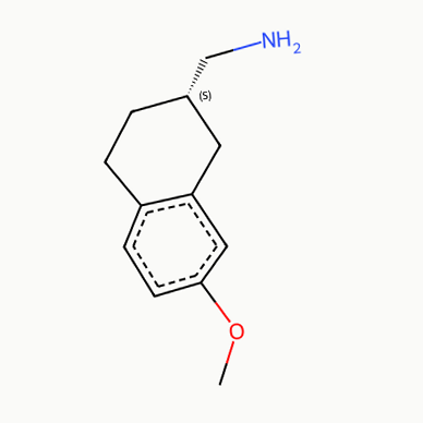 COc1ccc2c(c1)C[C@@H](CN)CC2